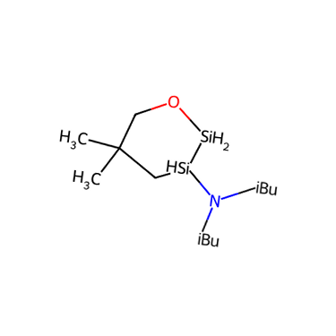 CCC(C)N(C(C)CC)[SiH]1CC(C)(C)CO[SiH2]1